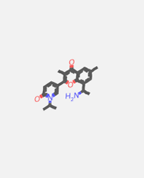 Cc1cc(C(C)N)c2oc(-c3ccc(=O)n(C(C)C)c3)c(C)c(=O)c2c1